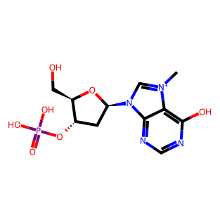 C[n+]1cn([C@H]2C[C@H](OP(=O)(O)O)[C@@H](CO)O2)c2ncnc(O)c21